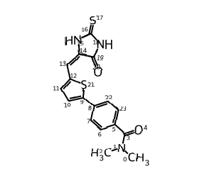 CN(C)C(=O)c1ccc(-c2ccc(C=C3NC(=S)NC3=O)s2)cc1